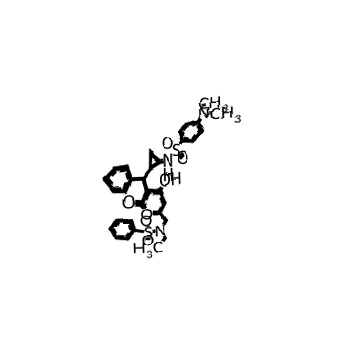 CCN(Cc1cc(O)c(C(c2ccccc2)C2CC2NS(=O)(=O)c2ccc(N(C)C)cc2)c(=O)o1)S(=O)(=O)c1ccccc1